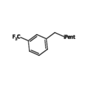 CCCC(C)Cc1cccc(C(F)(F)F)c1